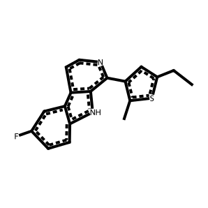 CCc1cc(-c2nccc3c2[nH]c2ccc(F)cc23)c(C)s1